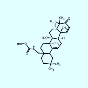 CC1(C)CC[C@]2(CNC(=O)OC(C)(C)C)CC[C@]3(C)C(=CC[C@@H]4[C@@]5(C)C=CC(=O)C(C)(C)[C@@H]5CC[C@]43C)C2C1